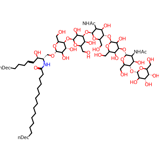 CCCCCCCCCCCCC/C=C/[C@@H](O)[C@H](CO[C@@H]1OC(CO)[C@@H](O[C@@H]2OC(CO)[C@H](O)[C@H](O[C@@H]3OC(CO)[C@@H](O[C@@H]4OC(CO)[C@H](O)[C@H](O[C@H]5OC(CO)[C@@H](O[C@@H]6OC(CO)[C@H](O)[C@H](O)C6O)[C@H](O)C5NC(C)=O)C4O)[C@H](O)C3NC(C)=O)C2O)[C@H](O)C1O)NC(=O)CCCCCCCCCCCCCCCCCCCCCCC